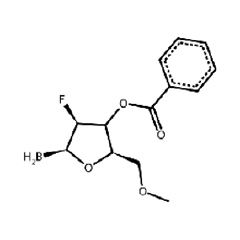 B[C@@H]1O[C@H](COC)C(OC(=O)c2ccccc2)[C@@H]1F